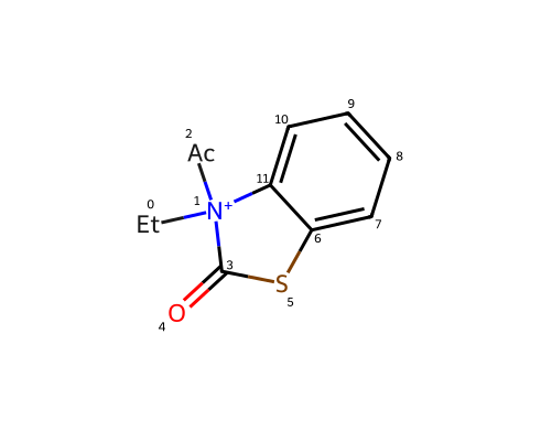 CC[N+]1(C(C)=O)C(=O)Sc2ccccc21